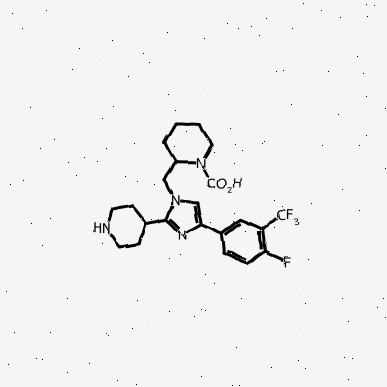 O=C(O)N1CCCCC1Cn1cc(-c2ccc(F)c(C(F)(F)F)c2)nc1C1CCNCC1